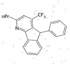 CCCc1cc(C(F)(F)F)c2c(n1)-c1ccccc1C2c1ccccc1